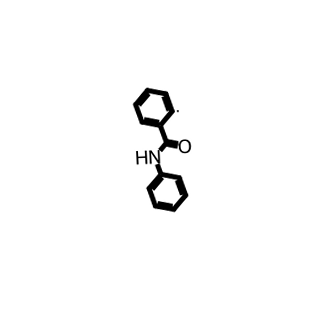 O=C(Nc1ccccc1)c1[c]cccc1